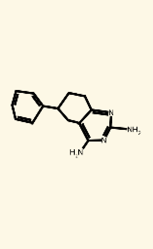 Nc1nc(N)c2c(n1)CCC(c1ccccc1)C2